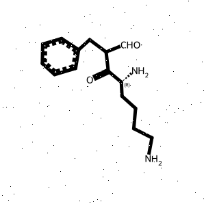 NCCCC[C@@H](N)C(=O)C([C]=O)Cc1ccccc1